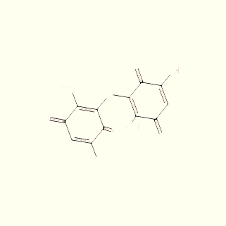 O=C1C=C(O)C(=O)C(SC2=C(O)C(=O)C=C(O)C2=O)=C1O